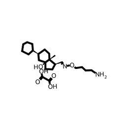 C[C@]12CC[C@H](C3CCCCC3)C[C@@]1(O)CC[C@@H]2/C=N/OCCCCN.O=C(O)C(=O)O